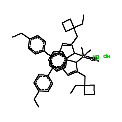 CCc1ccc(-c2cccc3c2C=C(CC2(CC)CCC2)[CH]3[Zr]([CH3])([CH3])(=[SiH2])[CH]2C(CC3(CC)CCC3)=Cc3c(-c4ccc(CC)cc4)cccc32)cc1.Cl.Cl